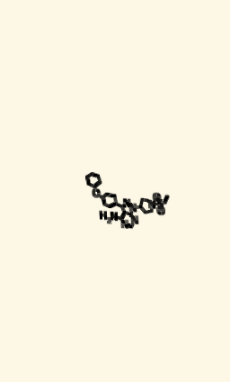 C=CS(=O)(=O)N1CCC(n2nc(-c3ccc(Oc4ccccc4)cc3)c3c(N)ncnc32)CC1